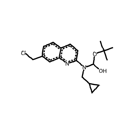 CC(C)(C)OC(O)N(CC1CC1)c1ccc2ccc(CCl)cc2n1